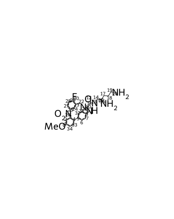 COc1ccc(-c2ccc3nc(C(=O)NC[C@@H](N)CCCN)n(Cc4cc([N+](=O)[O-])ccc4F)c3c2)cc1